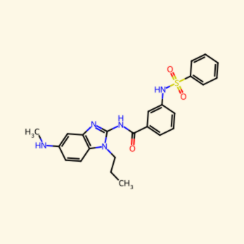 CCCn1c(NC(=O)c2cccc(NS(=O)(=O)c3ccccc3)c2)nc2cc(NC)ccc21